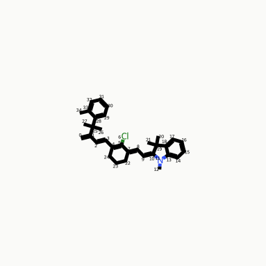 C=C(/C=C/C1=C(Cl)C(=C/C=C2/N(C)c3ccccc3C2(C)C)/CCC1)C(C)(C)c1ccccc1C